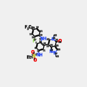 CCS(=O)(=O)Nc1ccc(Nc2ccc(C(F)(F)F)cc2F)c(-c2cn(C)c(=O)c3cn(C)nc23)c1